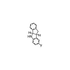 Fc1ccc2c(c1)[C@H]1Cc3ccccc3[C@H]1N2